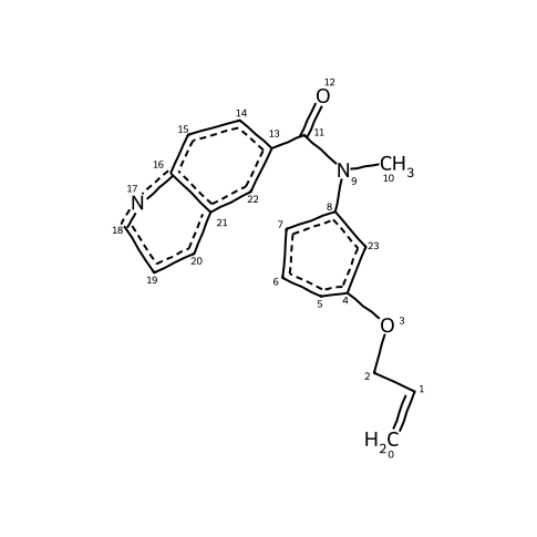 C=CCOc1cccc(N(C)C(=O)c2ccc3ncccc3c2)c1